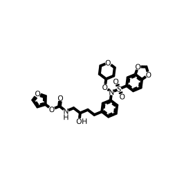 O=C(NCC(O)CCc1cccc(N(OC2CCOCC2)S(=O)(=O)c2ccc3c(c2)OCO3)c1)Oc1ccoc1